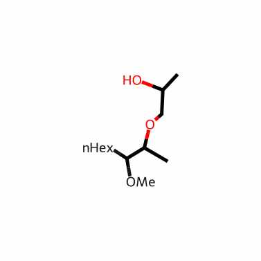 CCCCCCC(OC)C(C)OCC(C)O